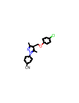 Cc1nn(-c2ccc(C#N)cc2)c(C)c1COc1ccc(Cl)cc1